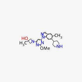 COc1nc(N2CC(C)(O)C2)cc(-n2ncc3cc(C)c(C4CCNCC4)cc32)n1